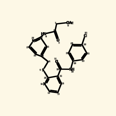 CC(=O)OCC(=O)Nc1cc(CSc2ncccc2C(=O)Nc2ccc(Cl)cc2)ccn1